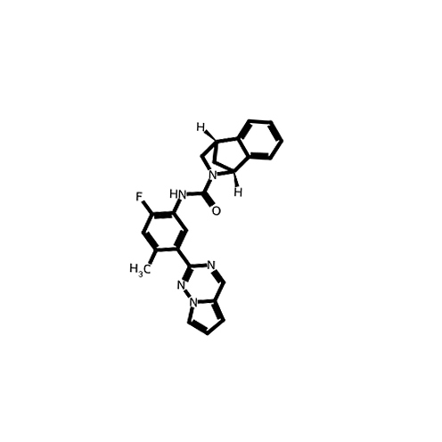 Cc1cc(F)c(NC(=O)N2C[C@H]3C[C@@H]2c2ccccc23)cc1-c1ncc2cccn2n1